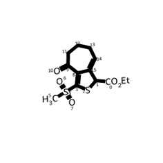 CCOC(=O)C1SC(S(C)(=O)=O)=C2C(=O)CCCC=C21